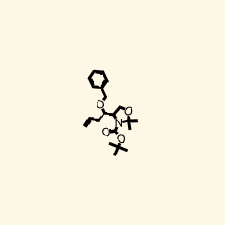 C=CC[C@@H](OCc1ccccc1)C1COC(C)(C)N1C(=O)OC(C)(C)C